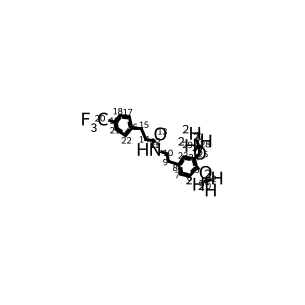 [2H]C([2H])([2H])Oc1ccc(CCNC(=O)CCc2ccc(C(F)(F)F)cc2)cc1OC([2H])([2H])[2H]